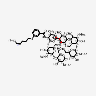 CCCCCC/C=C\CCCOc1cccc(C(=O)N[C@H]2[C@H](O[C@H]3[C@H](O)[C@@H](NC(C)=O)[C@H](O[C@H]4[C@H](O)[C@@H](NC(C)=O)[C@H](O[C@H]5[C@H](O)[C@@H](NC(C)=O)[C@H](O[C@H]6[C@H](O)[C@@H](NC(C)=O)C(O)O[C@@H]6CO[C@H]6O[C@@H](C)[C@@H](O)[C@@H](O)[C@@H]6O)O[C@@H]5CO)O[C@@H]4CO)O[C@@H]3CO)O[C@H](CO)[C@@H](O)[C@@H]2O)c1